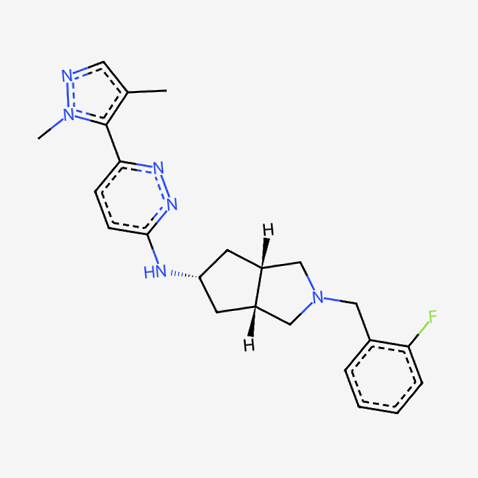 Cc1cnn(C)c1-c1ccc(N[C@@H]2C[C@@H]3CN(Cc4ccccc4F)C[C@@H]3C2)nn1